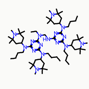 CCCCN(c1nc(NCN(CC)c2nc(N(CCCC)C3CC(C)(C)N(C)C(C)(C)C3)nc(N(CCCC)C3CC(C)(C)N(C)C(C)(C)C3)n2)nc(N(CCCC)C2CC(C)(C)N(C)C(C)(C)C2)n1)C1CC(C)(C)N(C)C(C)(C)C1